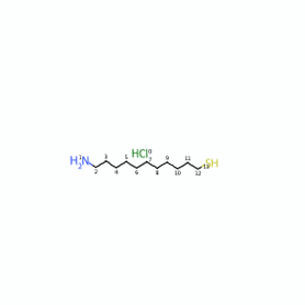 Cl.NCCCCCCCCCCCS